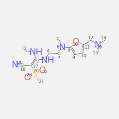 CNC(NCCN(C)c1ccc(CN(C)C)o1)=C(C#N)S(C)(=O)=O